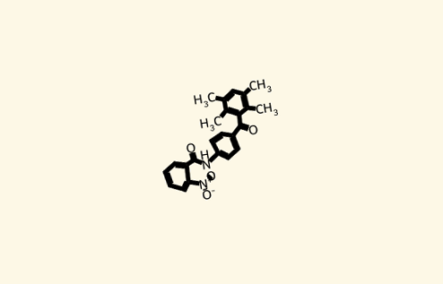 Cc1cc(C)c(C)c(C(=O)c2ccc(NC(=O)c3ccccc3[N+](=O)[O-])cc2)c1C